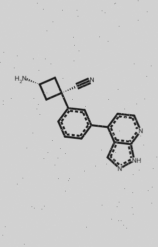 N#C[C@]1(c2cccc(-c3ccnc4[nH]ncc34)c2)C[C@H](N)C1